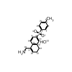 Cc1ccc(S(=O)(=O)c2ccc3c(c2)CCC=C3CN)cc1.Cl